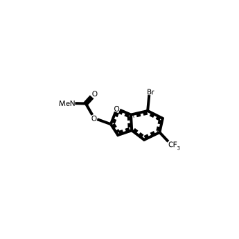 CNC(=O)Oc1cc2cc(C(F)(F)F)cc(Br)c2o1